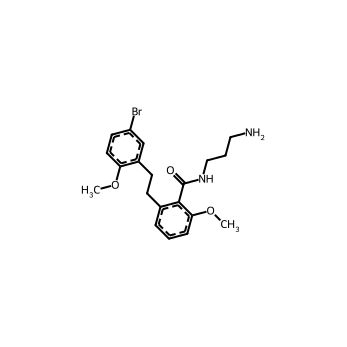 COc1ccc(Br)cc1CCc1cccc(OC)c1C(=O)NCCCN